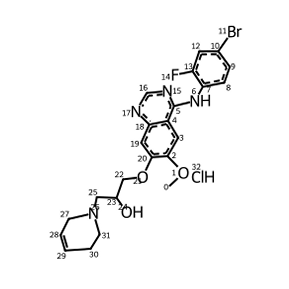 COc1cc2c(Nc3ccc(Br)cc3F)ncnc2cc1OCC(O)CN1CC=CCC1.Cl